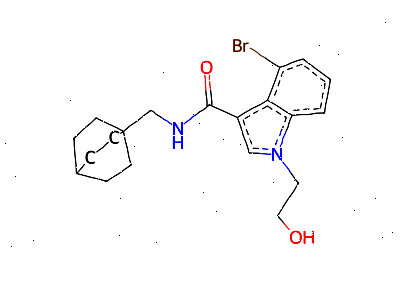 O=C(NCC12CCC(CC1)CC2)c1cn(CCO)c2cccc(Br)c12